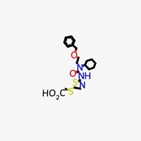 O=C(O)CSC1CN=C(NC(=O)N(CCOCc2ccccc2)C2CCCCC2)S1